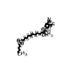 CCCCCCS(=O)(=O)CCCCCCCCCCC[C@](C)(O)C(=O)Nc1ccc(C#N)c(C(F)(F)F)c1